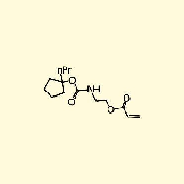 C=CC(=O)OCCNC(=O)OC1(CCC)CCCC1